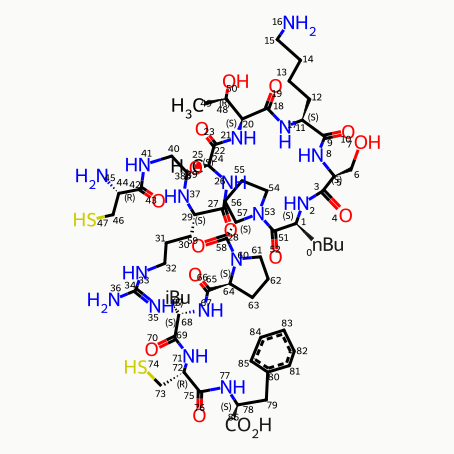 CCCC[C@H](NC(=O)[C@H](CO)NC(=O)[C@H](CCCCN)NC(=O)[C@@H](NC(=O)[C@H](C)NC(=O)[C@H](CCCNC(=N)N)NC(=O)CNC(=O)[C@@H](N)CS)[C@@H](C)O)C(=O)N1CCC[C@H]1C(=O)N1CCC[C@H]1C(=O)N[C@H](C(=O)N[C@@H](CS)C(=O)N[C@@H](Cc1ccccc1)C(=O)O)[C@@H](C)CC